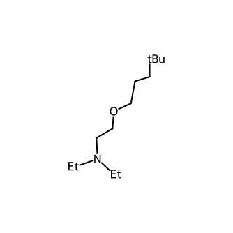 CCN(CC)CCOCCCC(C)(C)C